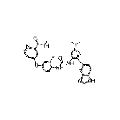 CNC(=O)c1cc(Oc2ccc(NC(=O)Nc3cn(C(C)C)nc3-c3ccc4[nH]cnc4c3)c(F)c2)ccn1